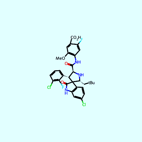 COc1cc(C(=O)O)c(F)cc1NC(=O)[C@H]1N[C@H](CC(C)(C)C)C2(C(=O)Nc3cc(Cl)ccc32)[C@@H]1c1cccc(Cl)c1F